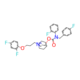 O=C(OC1C[N+]2(CCCOc3ccc(F)cc3F)CCC1CC2)N(Cc1ccc(F)cc1)c1ccccc1F